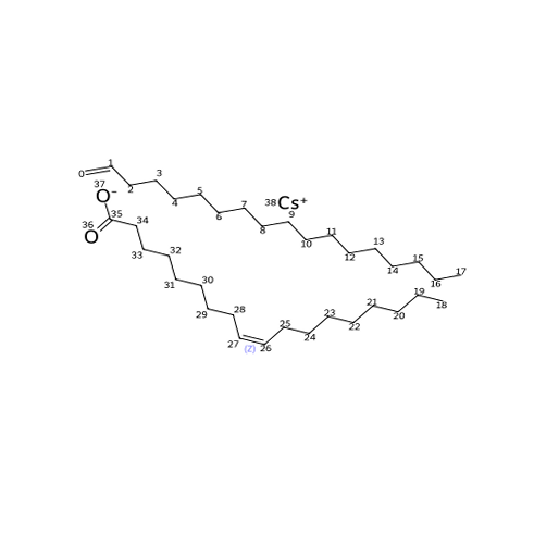 C=CCCCCCCCCCCCCCCCC.CCCCCCCC/C=C\CCCCCCCC(=O)[O-].[Cs+]